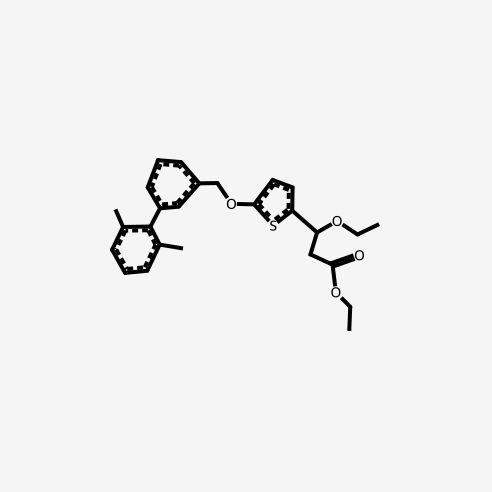 CCOC(=O)CC(OCC)c1ccc(OCc2cccc(-c3c(C)cccc3C)c2)s1